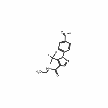 CCNC(=O)c1cnn(-c2ccc([N+](=O)[O-])cc2)c1C(F)(F)F